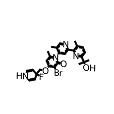 Cc1cnc(-c2nc(C(C)(C)O)ccc2C)cc1-n1c(C)cc(OCC2(F)C=CNC=C2)c(Br)c1=O